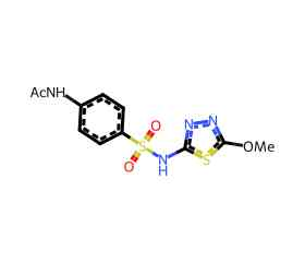 COc1nnc(NS(=O)(=O)c2ccc(NC(C)=O)cc2)s1